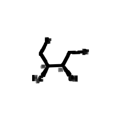 C[C@@H](CBr)[C@H](O)CBr